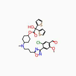 COc1cc(-c2noc(CCCN(C)C3CCC(OC(=O)C(O)(c4cccs4)c4cccs4)CC3)n2)c(Cl)cc1C=O